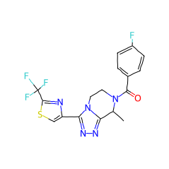 CC1c2nnc(-c3csc(C(F)(F)F)n3)n2CCN1C(=O)c1ccc(F)cc1